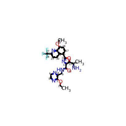 CCOc1nccnc1CNC(=O)c1nc(-c2ccc(OC)c3nc(C(F)(F)F)ccc23)oc1[C@H](C)N